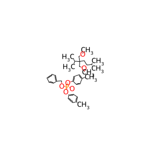 COCC(CCC(C)C)(COC)C(C)C.Cc1ccc(OP(=O)(OCc2ccccc2)Oc2ccc(C)cc2)cc1